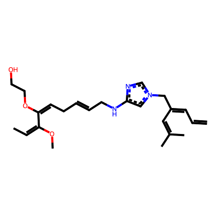 C=C/C=C(\C=C(C)C)Cn1cnc(NC/C=C/C/C=C(OCCO)\C(=C/C)OC)c1